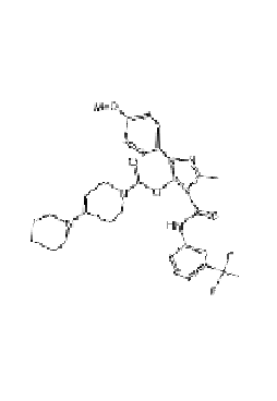 COc1ccc(-n2nc(C)c(C(=O)Nc3cccc(C(C)(F)F)c3)c2OC(=O)N2CCC(N3CCCCC3)CC2)cc1